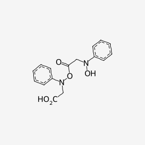 O=C(O)CN(OC(=O)CN(O)c1ccccc1)c1ccccc1